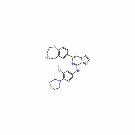 COc1cc(Nc2nc(-c3ccc4c(c3)CNCCO4)cn3ccnc23)ccc1N1CCOCC1